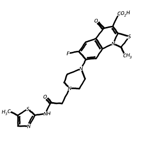 Cc1cnc(NC(=O)CN2CCN(c3cc4c(cc3F)c(=O)c(C(=O)O)c3n4C(C)S3)CC2)s1